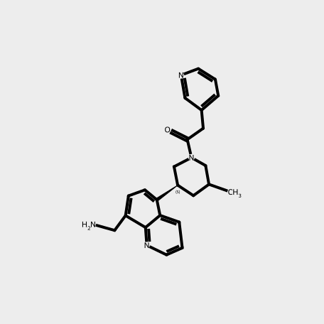 CC1C[C@@H](c2ccc(CN)c3ncccc23)CN(C(=O)Cc2cccnc2)C1